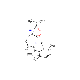 CN[C@@H](C)C(=O)N[C@H]1CCc2ccccc2N(Cc2cc(C(F)(F)F)ccc2OC)C1=O